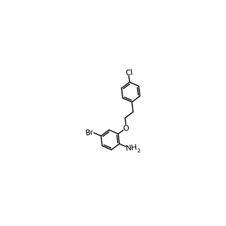 Nc1ccc(Br)cc1OCCc1ccc(Cl)cc1